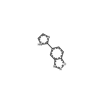 c1c[nH]c(-c2ccc3onnc3c2)n1